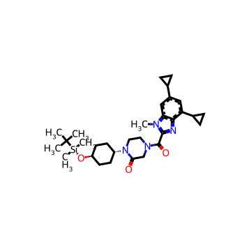 Cn1c(C(=O)N2CCN([C@H]3CC[C@H](O[Si](C)(C)C(C)(C)C)CC3)C(=O)C2)nc2c(C3CC3)cc(C3CC3)cc21